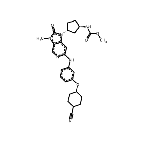 COC(=O)N[C@@H]1CC[C@@H](n2c(=O)n(C)c3cnc(Nc4cccc(OC5CCC(C#N)CC5)n4)cc32)C1